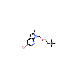 Cc1cc2cc(Br)cnc2n1COCC[Si](C)(C)C